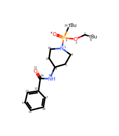 CC(C)(C)COP(=O)(N1CCC(NC(=O)c2ccccc2)CC1)C(C)(C)C